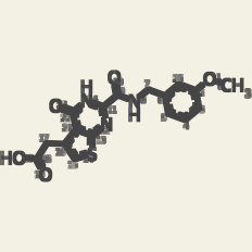 COc1cccc(CNC(=O)c2nc3scc(CC(=O)O)c3c(=O)[nH]2)c1